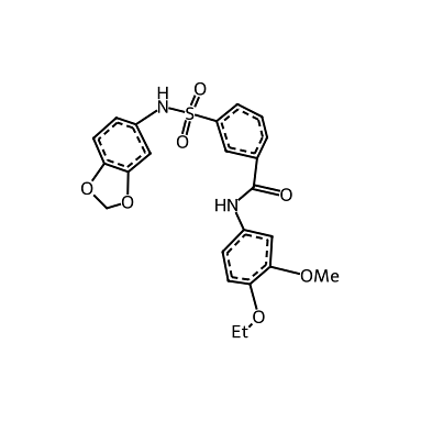 CCOc1ccc(NC(=O)c2cccc(S(=O)(=O)Nc3ccc4c(c3)OCO4)c2)cc1OC